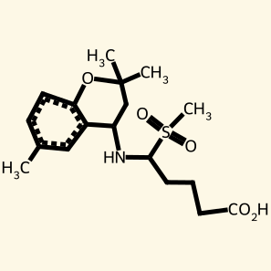 Cc1ccc2c(c1)C(NC(CCCC(=O)O)S(C)(=O)=O)CC(C)(C)O2